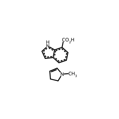 CN1C=CCC1.O=C(O)c1cccc2cc[nH]c12